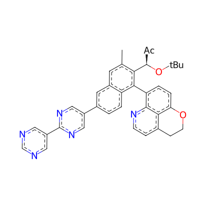 CC(=O)[C@@H](OC(C)(C)C)c1c(C)cc2cc(-c3cnc(-c4cncnc4)nc3)ccc2c1-c1ccc2c3c(ccnc13)CCO2